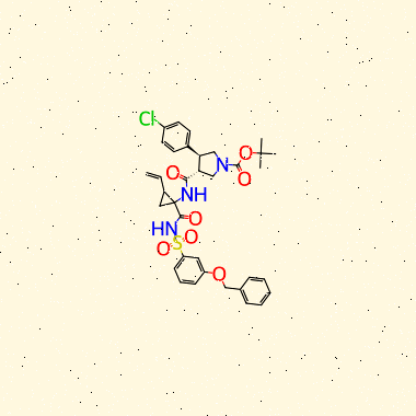 C=CC1CC1(NC(=O)[C@H]1CN(C(=O)OC(C)(C)C)C[C@@H]1c1ccc(Cl)cc1)C(=O)NS(=O)(=O)c1cccc(OCc2ccccc2)c1